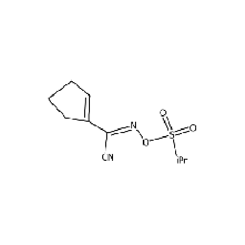 CC(C)S(=O)(=O)ON=C(C#N)C1=CCCC1